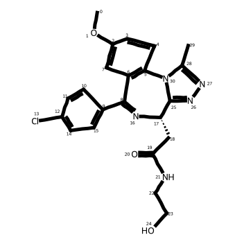 COc1ccc2c(c1)C(c1ccc(Cl)cc1)=N[C@@H](CC(=O)NCCO)c1nnc(C)n1-2